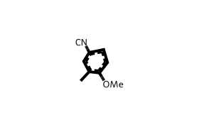 [C-]#[N+]c1ccc(OC)c(C)c1